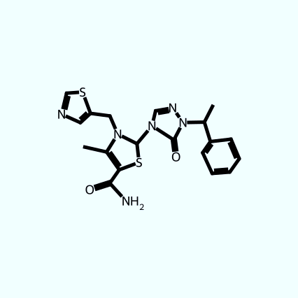 CC1=C(C(N)=O)SC(n2cnn(C(C)c3ccccc3)c2=O)N1Cc1cncs1